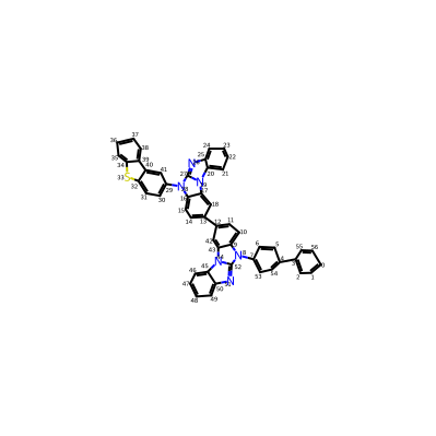 c1ccc(-c2ccc(-n3c4ccc(-c5ccc6c(c5)n5c7ccccc7nc5n6-c5ccc6sc7ccccc7c6c5)cc4n4c5ccccc5nc34)cc2)cc1